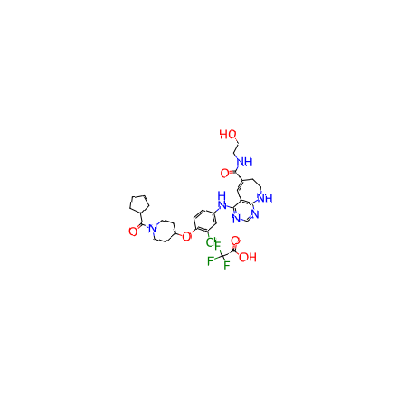 O=C(NCCO)C1=Cc2c(ncnc2Nc2ccc(OC3CCN(C(=O)C4CCCC4)CC3)c(Cl)c2)NCC1.O=C(O)C(F)(F)F